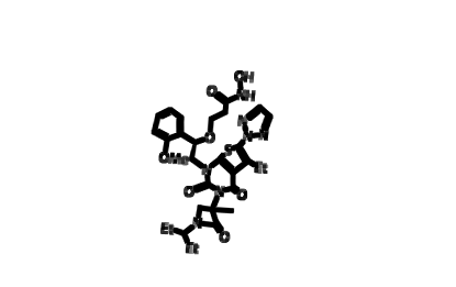 CCc1c(-n2nccn2)sc2c1c(=O)n(C1(C)CN(C(CC)CC)C1=O)c(=O)n2C[C@H](OCCC(=O)NO)c1ccccc1OC